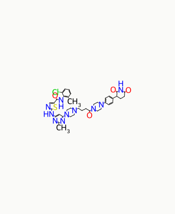 Cc1nc(Nc2ncc(C(=O)Nc3c(C)cccc3Cl)s2)cc(N2CCN(CCCC(=O)N3CCN(c4ccc(C5CCC(=O)NC5=O)cc4)CC3)CC2)n1